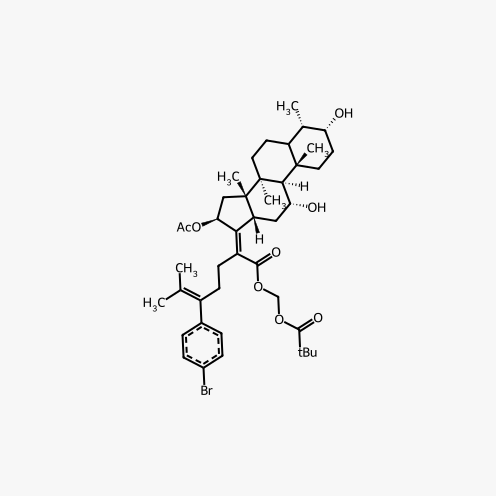 CC(=O)O[C@H]1C[C@@]2(C)[C@H](C[C@@H](O)[C@@H]3[C@@]4(C)CC[C@@H](O)[C@@H](C)C4CC[C@@]32C)C1=C(CCC(=C(C)C)c1ccc(Br)cc1)C(=O)OCOC(=O)C(C)(C)C